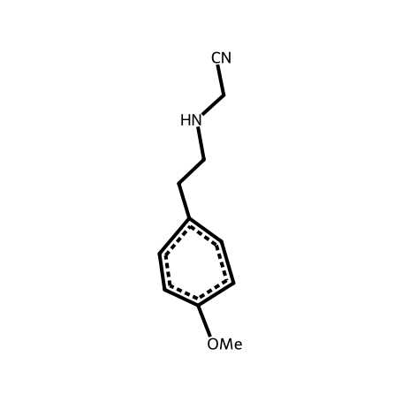 COc1ccc(CCNCC#N)cc1